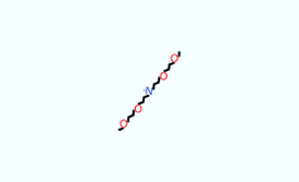 CCOCCCCOCCCC[N]CCCCOCCCCOCC